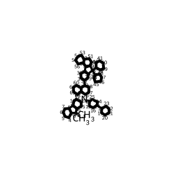 CC1(C)c2ccccc2-c2ccc(N(c3ccc(-c4ccccc4)cc3)c3ccc(-c4ccc5c(c4)C(c4ccccc4)(c4ccccc4)c4ccc6ccccc6c4-5)c4ccccc34)cc21